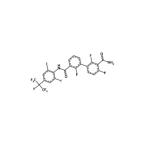 NC(=O)c1c(F)ccc(-c2cccc(C(=O)Nc3c(I)cc(C(F)(C(F)(F)F)C(F)(F)F)cc3I)c2F)c1F